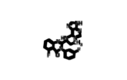 CCC(Nc1ncnc2[nH]cnc12)c1nc2cccc(F)c2c(=O)n1-c1cccc(F)c1